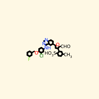 Cc1ccc(S(=O)(=O)O)c(-c2cc(-c3ccc4ncnc(Nc5ccc(OCc6cccc(F)c6)c(Cl)c5)c4c3)oc2C=O)c1